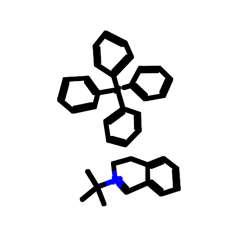 CC(C)(C)[N+]1=Cc2ccccc2CC1.c1ccc([B-](c2ccccc2)(c2ccccc2)c2ccccc2)cc1